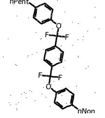 CCCCCCCCCc1ccc(OC(F)(F)c2ccc(C(F)(F)Oc3ccc(CCCCC)cc3)cc2)cc1